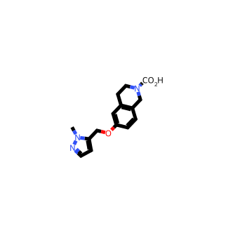 Cn1nccc1COc1ccc2c(c1)CCN(C(=O)O)C2